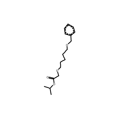 CC(C)OC(=O)COCCCCCOCc1ccccc1